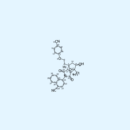 CCC12OC(CCOc3ccc(C#N)cc3)(C[C@H]1O)[C@@H]1C(=O)N(c3ccc(C#N)c4ccccc34)C(=O)[C@@H]12